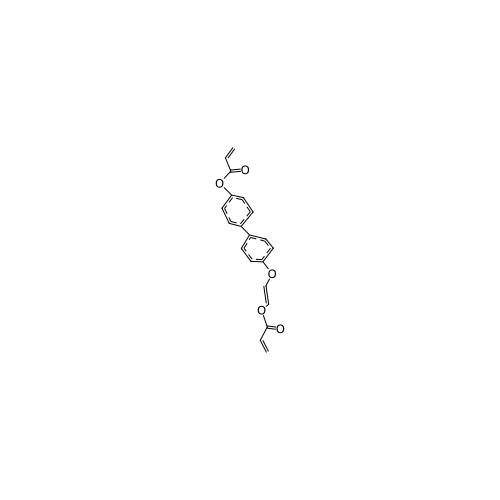 C=CC(=O)O/C=C/Oc1ccc(-c2ccc(OC(=O)C=C)cc2)cc1